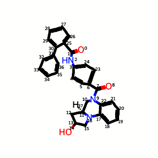 O=C(Nc1ccc(C(=O)N2C[C@@H]3CC(O)CN3c3ccccc32)cc1)c1ccccc1-c1ccccc1